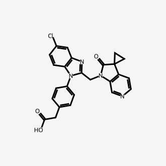 O=C(O)Cc1ccc(-n2c(CN3C(=O)C4(CC4)c4ccncc43)nc3cc(Cl)ccc32)cc1